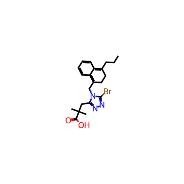 CCCC1=c2ccccc2=C(Cn2c(Br)nnc2CC(C)(C)C(=O)O)CC1